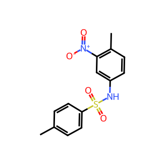 Cc1ccc(S(=O)(=O)Nc2ccc(C)c([N+](=O)[O-])c2)cc1